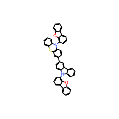 c1ccc2c(c1)Sc1cc(-c3ccc4c(c3)c3ccccc3n4-c3cccc4c3oc3ccccc34)ccc1N2c1cccc2c1oc1ccccc12